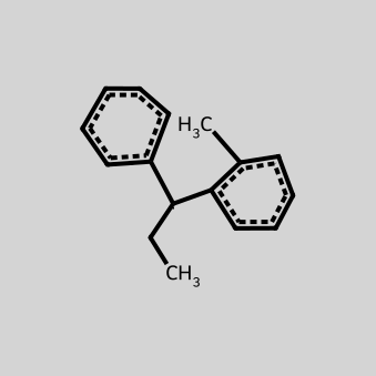 CC[C](c1ccccc1)c1ccccc1C